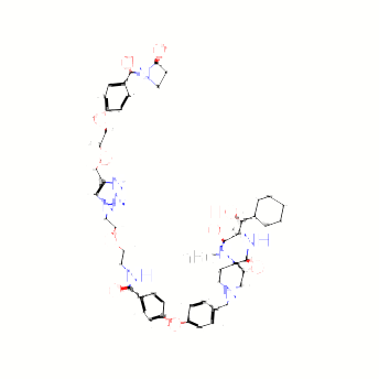 CCCCN1C(=O)[C@H]([C@H](O)C2CCCCC2)NC(=O)C12CCN(Cc1ccc(Oc3ccc(C(=O)NCCOCCn4cc(COCCOc5ccc(C(=O)N6CCC6=O)cc5)nn4)cc3)cc1)CC2